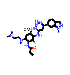 C=CC(=O)Nc1c(N(C)CCN(C)C)cc(OC)c(N/C(=C/C(=N)c2ccc3cnn(C)c3c2)NN)c1F